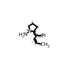 C/C=C\C(=C1\CCCN1N)C(C)C